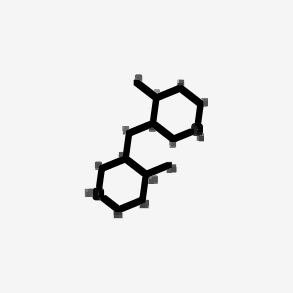 CC1CCOCC1CC1COCCC1C